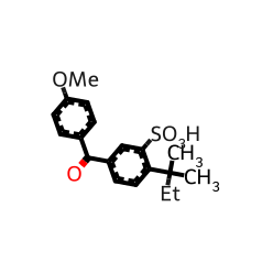 CCC(C)(C)c1ccc(C(=O)c2ccc(OC)cc2)cc1S(=O)(=O)O